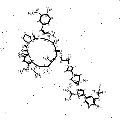 CO[C@H]1C[C@@H](C)C/C(C)=C/[C@@H](CCC(=O)N2CC(N3C[C@@H]4[C@H](C3)[C@H]4c3cc(-c4cnc(N)c(OC(F)(F)F)c4)nn3C(C)C)C2)C(=O)C[C@H](O)[C@@H](C)[C@@H](/C(C)=C/[C@@H]2CC[C@@H](O)[C@H](OC)C2)OC(=O)[C@@H]2CCCCN2C(=O)C(=O)[C@]2(O)O[C@H]1[C@@H](OC)C[C@H]2C